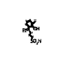 CCN(CCCS(=O)(=O)O)c1cccc(C)c1O